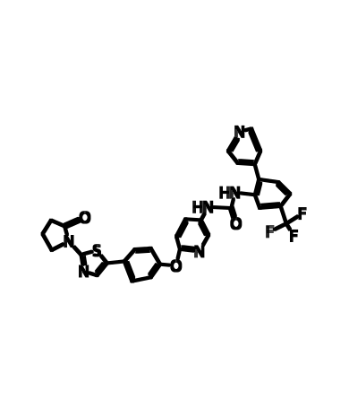 O=C(Nc1ccc(Oc2ccc(-c3cnc(N4CCCC4=O)s3)cc2)nc1)Nc1cc(C(F)(F)F)ccc1-c1ccncc1